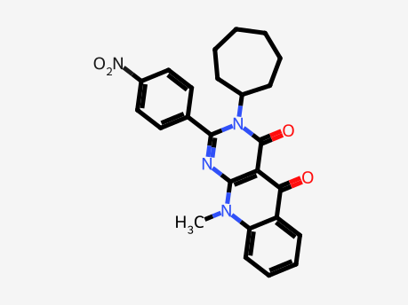 Cn1c2ccccc2c(=O)c2c(=O)n(C3CCCCCC3)c(-c3ccc([N+](=O)[O-])cc3)nc21